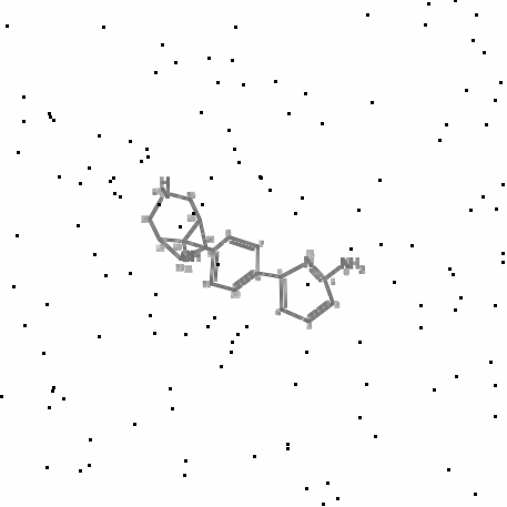 Nc1cccc(-c2ccc(C3(O)C4CCC3CNC4)cc2)n1